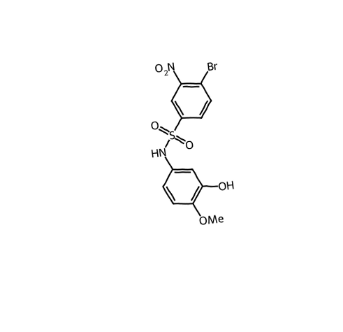 COc1ccc(NS(=O)(=O)c2ccc(Br)c([N+](=O)[O-])c2)cc1O